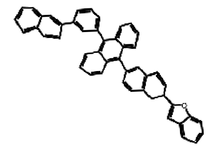 C1=CC(c2cc3ccccc3o2)Cc2ccc(-c3c4ccccc4c(-c4cccc(-c5ccc6ccccc6c5)c4)c4ccccc34)cc21